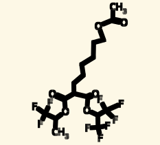 CC(=O)OCCCCCCC(C(=O)OC(C)C(F)(F)F)C(=O)OC(C(F)(F)F)C(F)(F)F